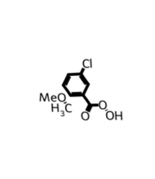 COC.O=C(OO)c1cccc(Cl)c1